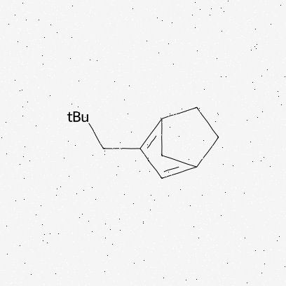 CC(C)(C)CC1=C2CCC(=C1)C2